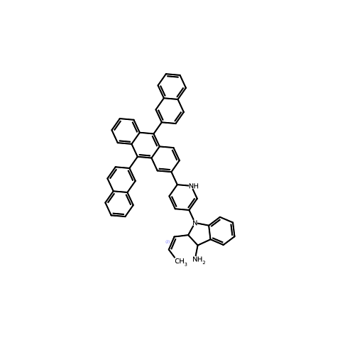 C/C=C\C1C(N)c2ccccc2N1C1=CNC(c2ccc3c(-c4ccc5ccccc5c4)c4ccccc4c(-c4ccc5ccccc5c4)c3c2)C=C1